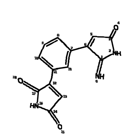 N=C1NC(=O)C=C1c1cccc(C2=CC(=O)NC2=O)c1